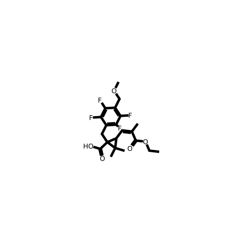 CCOC(=O)C(C)=CC1C(C)(C)C1(Cc1c(F)c(F)c(COC)c(F)c1F)C(=O)O